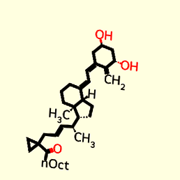 C=C1/C(=C\C=C2/CCC[C@]3(C)[C@@H]([C@H](C)/C=C/CC4(C(=O)CCCCCCCC)CC4)CC[C@@H]23)C[C@@H](O)C[C@@H]1O